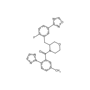 Cc1ccc(-n2nccn2)c(C(=O)N2CCOCC2Cc2cc(-c3ncon3)ccc2F)c1